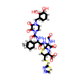 O=CN[C@@]1(NC(=O)C(NC(=O)N2CCN(Cc3cccc(O)c3O)C(=O)C2=O)c2ccccc2)C(=O)N2C(C(=O)[O-])=C(CSc3nncs3)CS[C@H]21.[Na+]